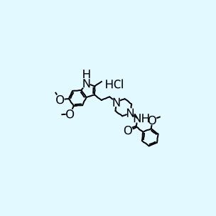 COc1cc2[nH]c(C)c(CCN3CCN(NC(=O)c4ccccc4OC)CC3)c2cc1OC.Cl